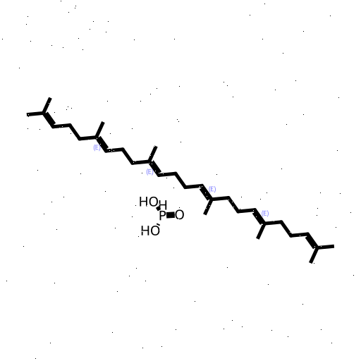 CC(C)=CCC/C(C)=C/CC/C(C)=C/CC/C=C(\C)CC/C=C(\C)CCC=C(C)C.O=[PH](O)O